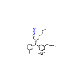 CCCCCC(C=C=[N+]=[N-])=C(c1cccc(C)c1)c1cccc(CCCC)c1.[CH3][Ni][CH3]